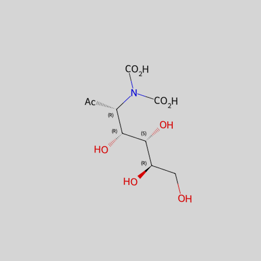 CC(=O)[C@@H]([C@@H](O)[C@H](O)[C@H](O)CO)N(C(=O)O)C(=O)O